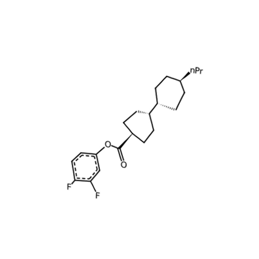 CCC[C@H]1CC[C@H]([C@H]2CC[C@H](C(=O)Oc3ccc(F)c(F)c3)CC2)CC1